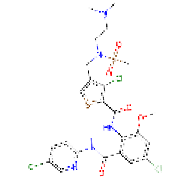 COc1cc(Cl)cc(C(=O)Nc2ccc(Cl)cn2)c1NC(=O)c1scc(CN(CCN(C)C)S(C)(=O)=O)c1Cl